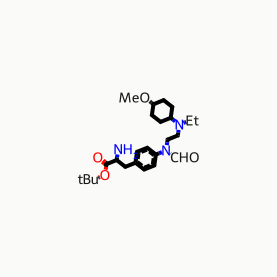 CCN(CCN(C=O)c1ccc(CC(N)C(=O)OC(C)(C)C)cc1)C1CCC(OC)CC1